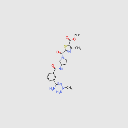 CCCOC(=O)c1sc(C(=O)N2CCC(NC(=O)c3cccc(/C(N)=N/N(C)N)c3)C2)nc1C